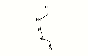 O=C[NH][Pr][NH]C=O